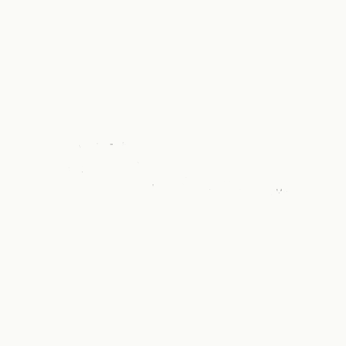 COCCOCCOCCOC(=O)c1cc(Cl)ccc1Cl